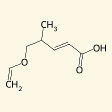 C=COCC(C)C=CC(=O)O